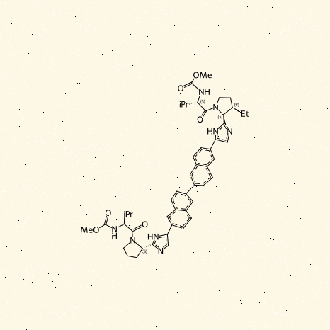 CC[C@@H]1CCN(C(=O)[C@@H](NC(=O)OC)C(C)C)[C@@H]1c1ncc(-c2ccc3cc(-c4ccc5cc(-c6cnc([C@@H]7CCCN7C(=O)C(NC(=O)OC)C(C)C)[nH]6)ccc5c4)ccc3c2)[nH]1